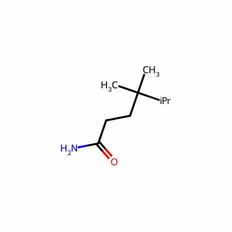 CC(C)C(C)(C)CCC(N)=O